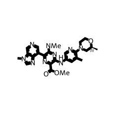 CNc1nc(Nc2cnc(N3CCO[C@@H](C)C3)c(C)c2)c(C(=O)OC)nc1-c1cncc2c1ncn2C